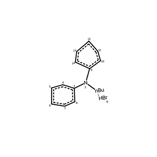 Br.CCCCN(c1ccccc1)c1ccccc1